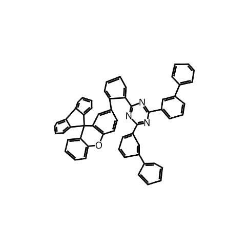 c1ccc(-c2cccc(-c3nc(-c4cccc(-c5ccccc5)c4)nc(-c4ccccc4-c4ccc5c(c4)C4(c6ccccc6O5)c5ccccc5-c5ccccc54)n3)c2)cc1